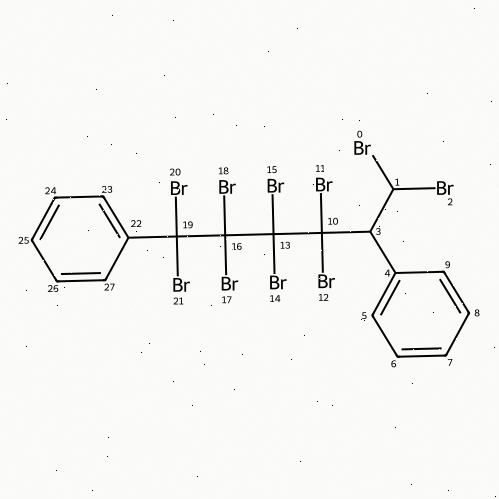 BrC(Br)C(c1ccccc1)C(Br)(Br)C(Br)(Br)C(Br)(Br)C(Br)(Br)c1ccccc1